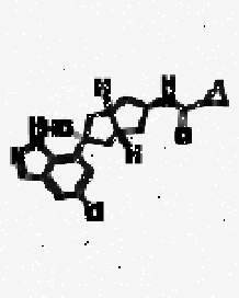 O=C(N[C@H]1C[C@@H]2C[C@@](O)(c3cc(Cl)cc4cn[nH]c34)C[C@@H]2C1)C1CC1